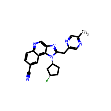 Cc1cnc(Cc2nc3cnc4ccc(C#N)cc4c3n2[C@@H]2CC[C@H](F)C2)cn1